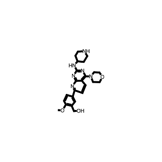 COc1ccc(-c2ccc3c(N4CCOCC4)nc(NC4CCNCC4)nc3n2)cc1CO